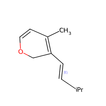 CC1=C(/C=C/C(C)C)COC=C1